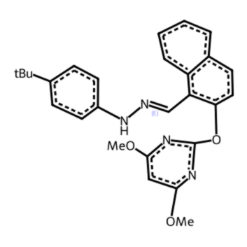 COc1cc(OC)nc(Oc2ccc3ccccc3c2/C=N/Nc2ccc(C(C)(C)C)cc2)n1